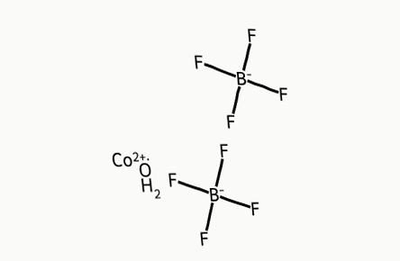 F[B-](F)(F)F.F[B-](F)(F)F.O.[Co+2]